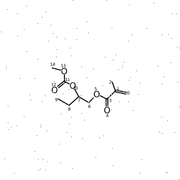 C=C(C)C(=O)OCC(CC)OC(=O)OC